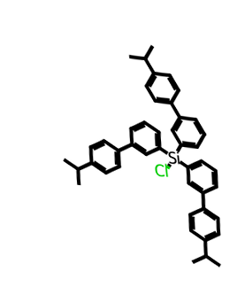 CC(C)c1ccc(-c2cccc([Si](Cl)(c3cccc(-c4ccc(C(C)C)cc4)c3)c3cccc(-c4ccc(C(C)C)cc4)c3)c2)cc1